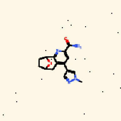 Cn1cc(-c2cc(C(N)=O)nc3c2CC2CCC3O2)cn1